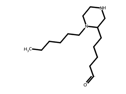 CCCCCCN1CCNCC1CCCC[C]=O